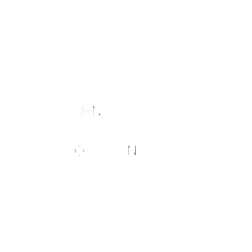 C=C1NOCN1C